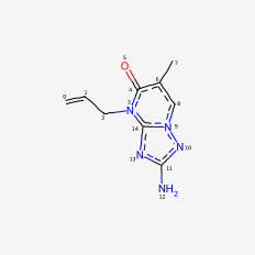 C=CCn1c(=O)c(C)cn2nc(N)nc12